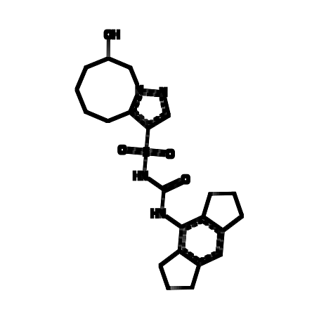 O=C(Nc1c2c(cc3c1CCC3)CCC2)NS(=O)(=O)c1cnn2c1CCCCC(O)C2